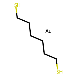 SCCCCCCS.[Au]